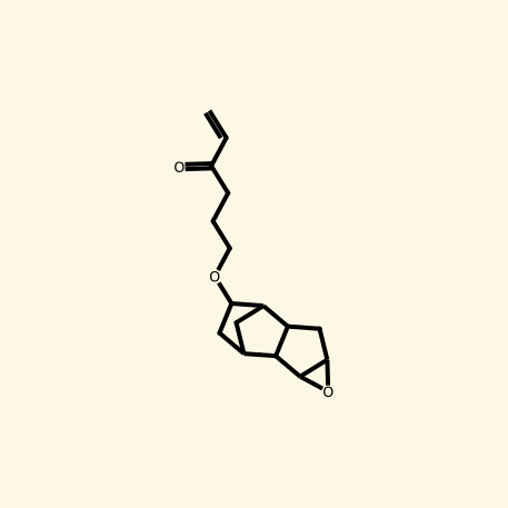 C=CC(=O)CCCOC1CC2CC1C1CC3OC3C21